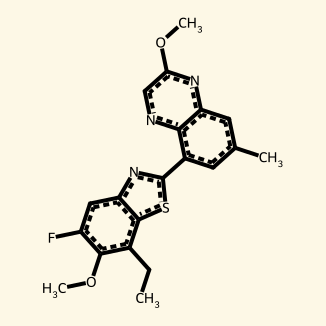 CCc1c(OC)c(F)cc2nc(-c3cc(C)cc4nc(OC)cnc34)sc12